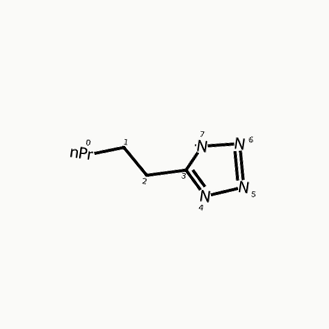 CCCCCC1=NN=N[N]1